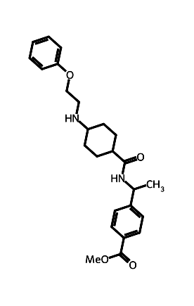 COC(=O)c1ccc(C(C)NC(=O)C2CCC(NCCOc3ccccc3)CC2)cc1